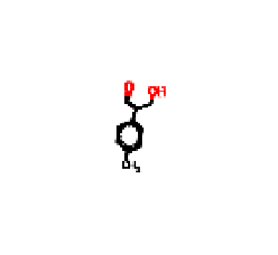 Cc1ccc(C(C=O)CO)cc1